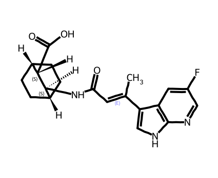 C/C(=C\C(=O)N[C@H]1[C@H]2CC[C@H](CC2)[C@@H]1C(=O)O)c1c[nH]c2ncc(F)cc12